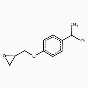 CC(C)C(C)c1ccc(OCC2CO2)cc1